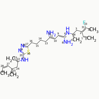 C=C/C(CC(=C)N/C(N)=C/C=C(\N)CCCCc1nnc(NC(=C)CC(=C)/C=C\C)s1)=C(\C)F